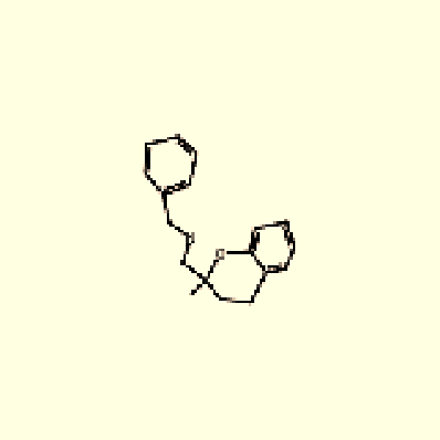 CC1(CNCc2ccccc2)CCc2ccccc2O1